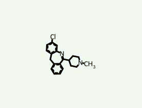 CN1CCC(C2=Nc3cc(Cl)ccc3Cc3ccccc32)CC1